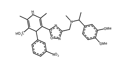 COc1ccc(C(C)N(C)Cc2noc(C3=C(C)NC(C)=C(C(=O)O)C3c3cccc([N+](=O)[O-])c3)n2)cc1OC